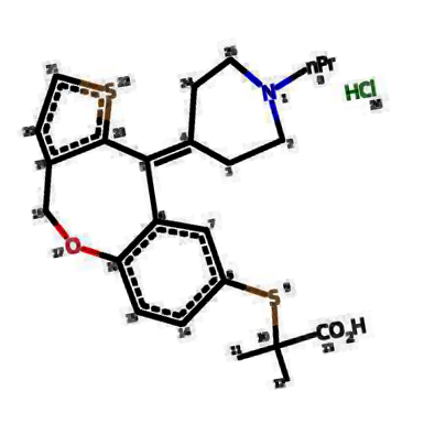 CCCN1CCC(=C2c3cc(SC(C)(C)C(=O)O)ccc3OCc3ccsc32)CC1.Cl